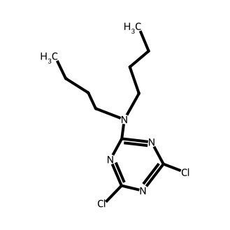 CCCCN(CCCC)c1nc(Cl)nc(Cl)n1